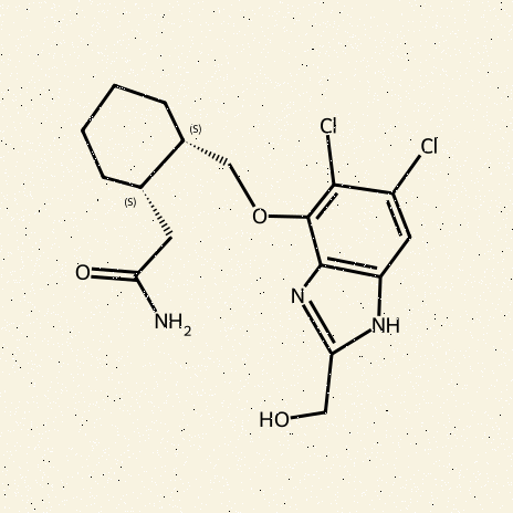 NC(=O)C[C@@H]1CCCC[C@@H]1COc1c(Cl)c(Cl)cc2[nH]c(CO)nc12